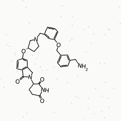 NCc1cccc(COc2cccc(CN3CC[C@H](Oc4ccc5c(c4)CN(C4CCC(=O)NC4=O)C5=O)C3)c2)c1